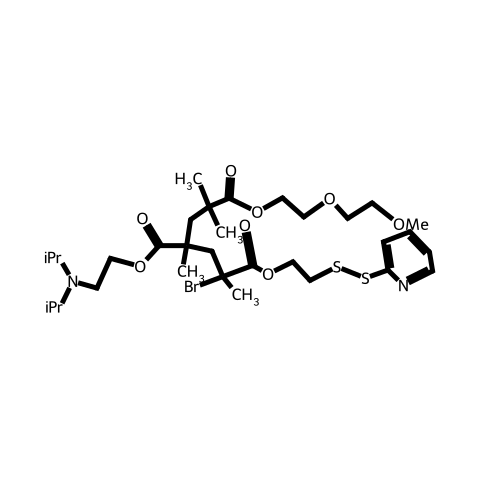 COCCOCCOC(=O)C(C)(C)CC(C)(CC(C)(Br)C(=O)OCCSSc1ccccn1)C(=O)OCCN(C(C)C)C(C)C